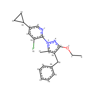 CCOc1nn(-c2ncc(C3CC3)cc2F)c(C)c1Cc1ccccc1